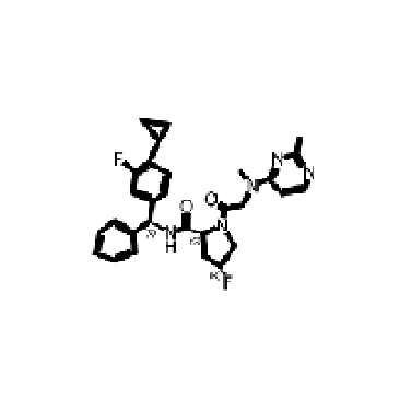 Cc1nccc(N(C)CC(=O)N2C[C@H](F)C[C@H]2C(=O)N[C@@H](c2ccccc2)c2ccc(C3CC3)c(F)c2)n1